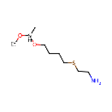 CCO[SiH](C)OCCCCSCCN